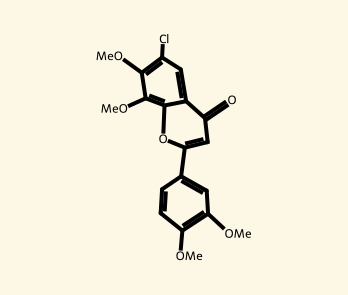 COc1ccc(-c2cc(=O)c3cc(Cl)c(OC)c(OC)c3o2)cc1OC